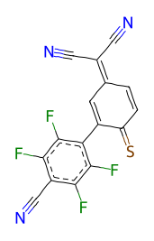 N#CC(C#N)=C1C=CC(=S)C(c2c(F)c(F)c(C#N)c(F)c2F)=C1